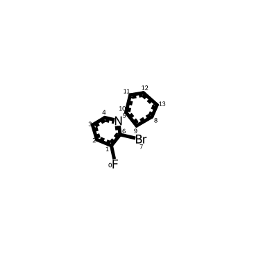 Fc1cccnc1Br.c1ccccc1